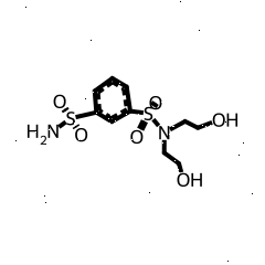 NS(=O)(=O)c1cccc(S(=O)(=O)N(CCO)CCO)c1